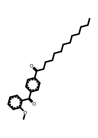 CCCCCCCCCCCCC(=O)c1ccc(C(=O)c2ccccc2OC)cc1